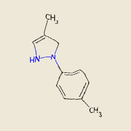 CC1=CNN(c2ccc(C)cc2)C1